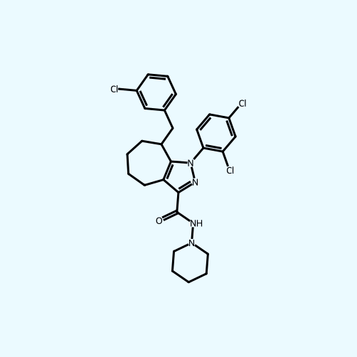 O=C(NN1CCCCC1)c1nn(-c2ccc(Cl)cc2Cl)c2c1CCCCC2Cc1cccc(Cl)c1